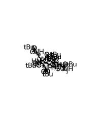 CC(C)(C)OC(=O)NCCCCC(CCCNC(=O)OC(C)(C)C)(NC(=O)OC(C)(C)C)C(CCCCCCCS(=O)(=O)O)CN(CCCC(N)(CCCNC(=O)OC(C)(C)C)C(=O)OC(C)(C)C)C(=O)OC(C)(C)C